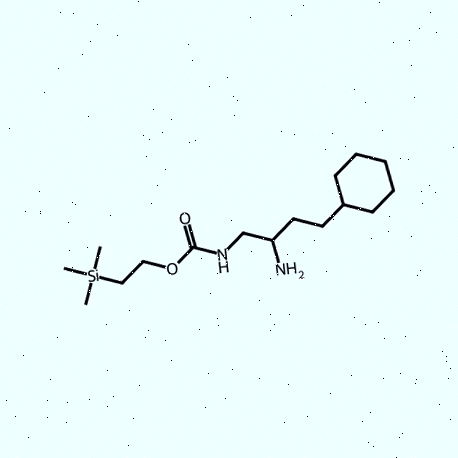 C[Si](C)(C)CCOC(=O)NCC(N)CCC1CCCCC1